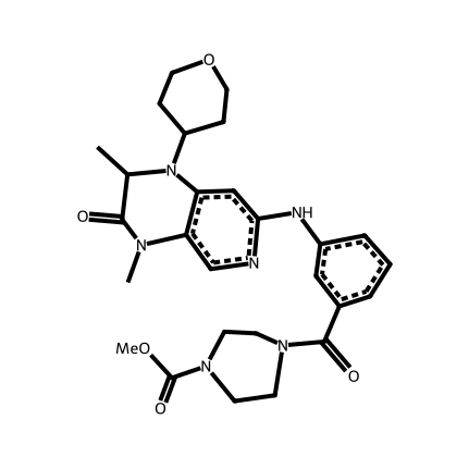 COC(=O)N1CCN(C(=O)c2cccc(Nc3cc4c(cn3)N(C)C(=O)C(C)N4C3CCOCC3)c2)CC1